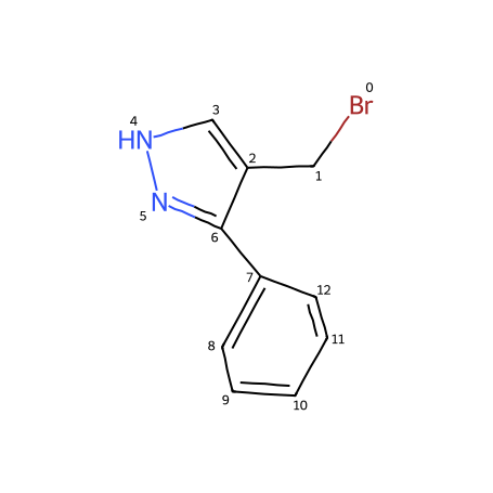 BrCc1c[nH]nc1-c1ccccc1